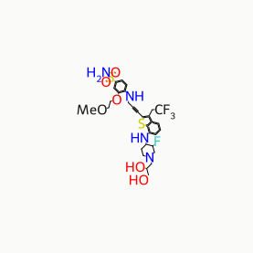 COCCOc1cc(S(N)(=O)=O)ccc1NCC#Cc1sc2c(NC3CCN(CC(O)CO)CC3F)cccc2c1CC(F)(F)F